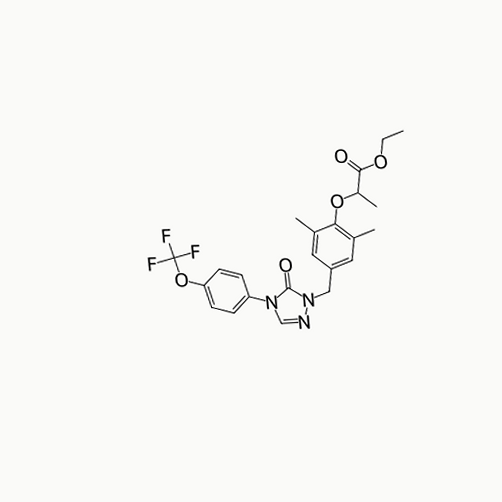 CCOC(=O)C(C)Oc1c(C)cc(Cn2ncn(-c3ccc(OC(F)(F)F)cc3)c2=O)cc1C